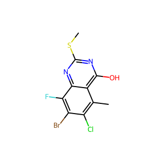 CSc1nc(O)c2c(C)c(Cl)c(Br)c(F)c2n1